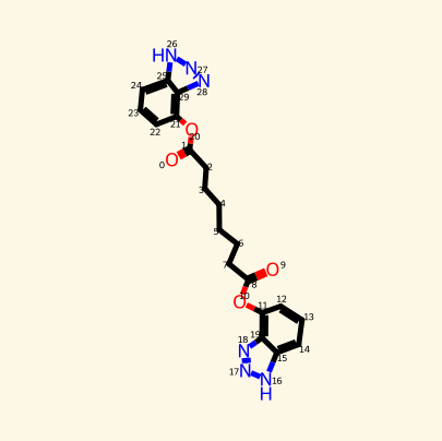 O=C(CCCCCCC(=O)Oc1cccc2[nH]nnc12)Oc1cccc2[nH]nnc12